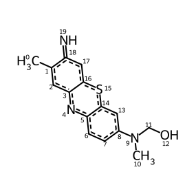 Cc1cc2nc3ccc(N(C)CO)cc3sc-2cc1=N